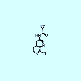 O=C(Nc1cc2ccnc(Cl)c2nn1)C1CC1